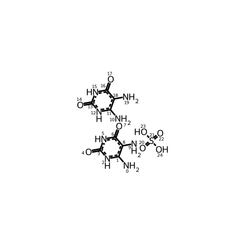 Nc1[nH]c(=O)[nH]c(=O)c1N.Nc1[nH]c(=O)[nH]c(=O)c1N.O=S(=O)(O)O